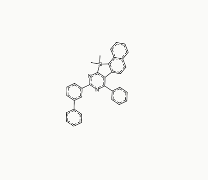 C[Si]1(C)c2nc(-c3cccc(-c4ccccc4)c3)nc(-c3ccccc3)c2-c2ccc3ccccc3c21